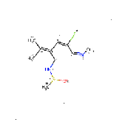 C/N=C\C(F)=C/C(CN[S+](C)[O-])=C(C)C